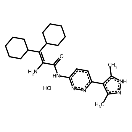 Cc1n[nH]c(C)c1-c1ccc(NC(=O)C(N)=C(C2CCCCC2)C2CCCCC2)nn1.Cl